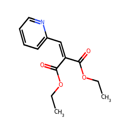 CCOC(=O)C(=Cc1ccccn1)C(=O)OCC